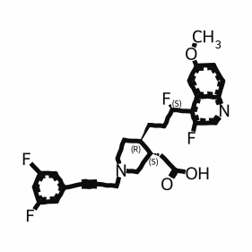 COc1ccc2ncc(F)c([C@@H](F)CC[C@@H]3CCN(CC#Cc4cc(F)cc(F)c4)C[C@H]3CC(=O)O)c2c1